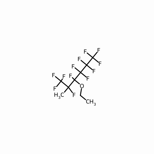 CCOC(F)(C(C)(F)C(F)(F)F)C(F)(F)C(F)(F)C(F)(F)F